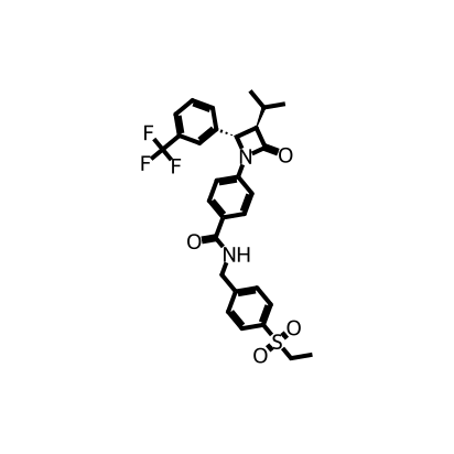 CCS(=O)(=O)c1ccc(CNC(=O)c2ccc(N3C(=O)[C@H](C(C)C)[C@H]3c3cccc(C(F)(F)F)c3)cc2)cc1